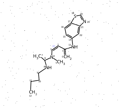 C=C(/C=C\N(C)C(C)NCCCC)Nc1ccc2scnc2c1